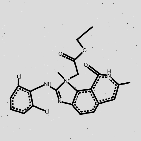 CCOC(=O)C[N+]1(C)C(Nc2c(Cl)cccc2Cl)=Nc2ccc3cc(C)[nH]c(=O)c3c21